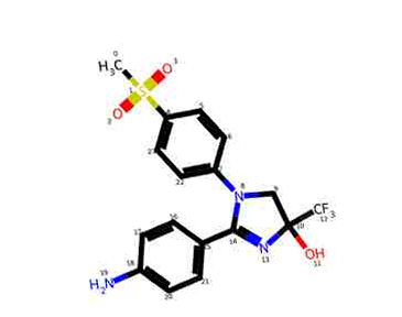 CS(=O)(=O)c1ccc(N2CC(O)(C(F)(F)F)N=C2c2ccc(N)cc2)cc1